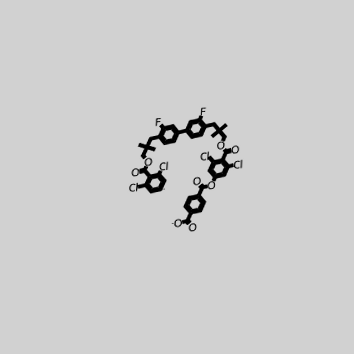 CC(C)(COC(=O)c1c(Cl)c[c]cc1Cl)Cc1ccc(-c2ccc(CC(C)(C)COC(=O)c3c(Cl)cc(OC(=O)c4ccc(C([O])=O)cc4)cc3Cl)c(F)c2)cc1F